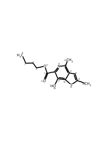 CCCCOC(=O)c1nc(C)c2cc(C)sc2c1O